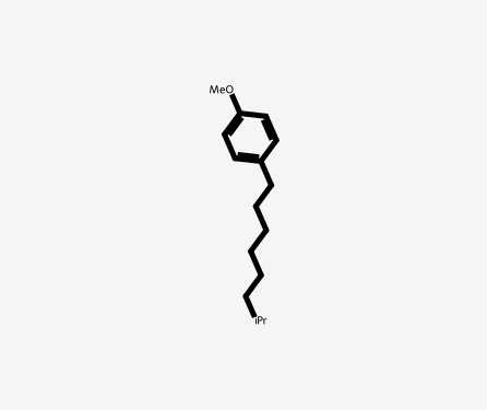 COc1ccc(CCCCCCC(C)C)cc1